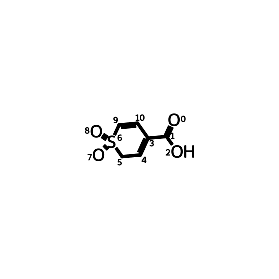 O=C(O)C1=CCS(=O)(=O)C=C1